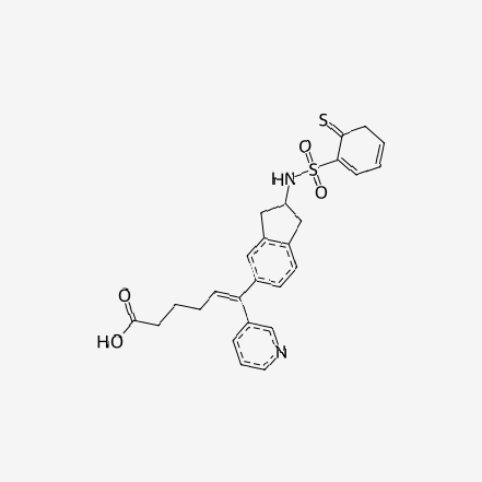 O=C(O)CCCC=C(c1cccnc1)c1ccc2c(c1)CC(NS(=O)(=O)C1=CC=CCC1=S)C2